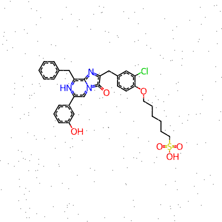 O=c1c(Cc2ccc(OCCCCCCS(=O)(=O)O)c(Cl)c2)nc2c(Cc3ccccc3)[nH]c(-c3cccc(O)c3)cn1-2